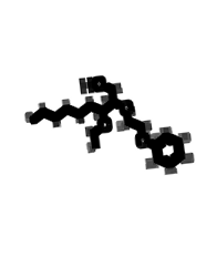 CCCCCCC(OCC)C(CO)OCCOc1ccccc1